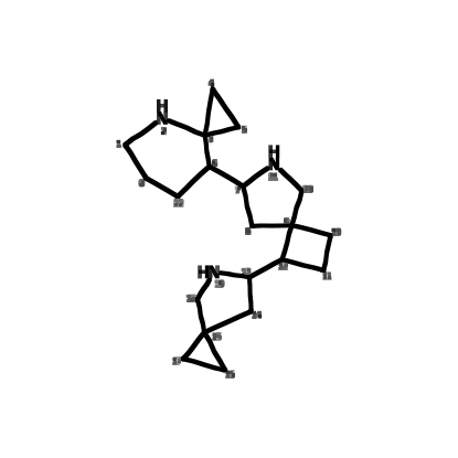 C1CNC2(CC2)C(C2CC3(CCC3C3CC4(CC4)CN3)CN2)C1